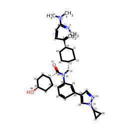 C=C(/C=C\C(=N/C)N(C)C)[C@H]1CC[C@H](CN(c2cccc(-c3cnn(C4CC4)c3)c2)C(=O)[C@H]2CC[C@H](O)CC2)CC1